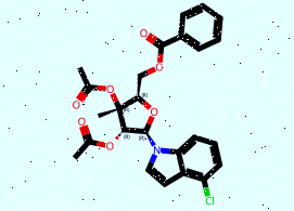 CC(=O)O[C@H]1[C@H](n2ccc3c(Cl)cccc32)O[C@H](COC(=O)c2ccccc2)[C@@]1(C)OC(C)=O